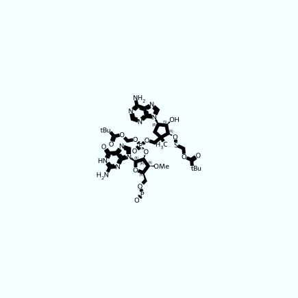 CO[C@H]1[C@@H](O[P@](=O)(OCOC(=O)C(C)(C)C)OCC2(C)C[C@@H](n3cnc4c(N)ncnc43)[C@H](O)[C@@H]2OSCOC(=O)C(C)(C)C)[C@H](n2cnc3c(=O)[nH]c(N)nc32)O[C@@H]1COP=O